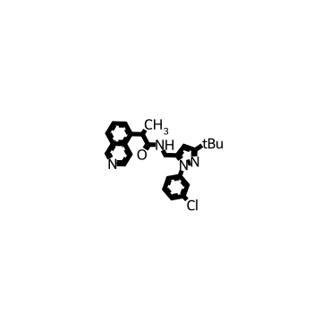 CC(C(=O)NCc1cc(C(C)(C)C)nn1-c1cccc(Cl)c1)c1cccc2cnccc12